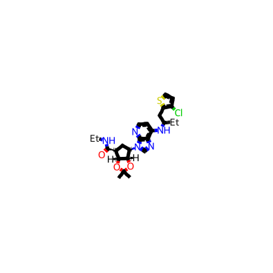 CCNC(=O)[C@H]1C[C@@H](n2cnc3c(NC(CC)Cc4sccc4Cl)ccnc32)[C@@H]2OC(C)(C)O[C@@H]21